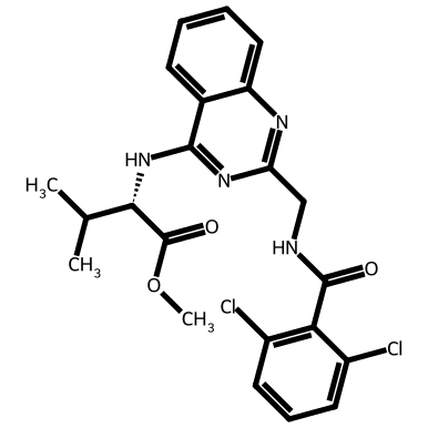 COC(=O)[C@@H](Nc1nc(CNC(=O)c2c(Cl)cccc2Cl)nc2ccccc12)C(C)C